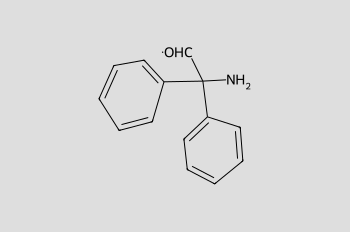 NC([C]=O)(c1ccccc1)c1ccccc1